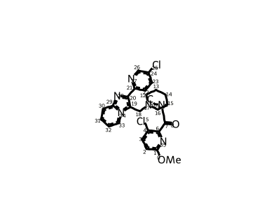 COc1ccc(Cl)c(C(=O)N2CCC3CCC2CN3Cc2c(-c3ccc(Cl)cn3)nc3ccccn23)n1